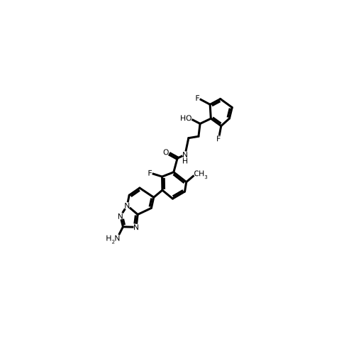 Cc1ccc(-c2ccn3nc(N)nc3c2)c(F)c1C(=O)NCCC(O)c1c(F)cccc1F